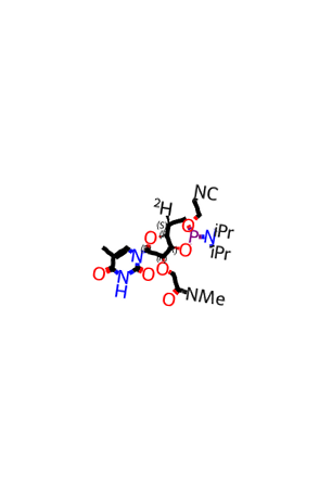 [2H][C@@H](C)[C@H]1O[C@@H](n2cc(C)c(=O)[nH]c2=O)[C@H](OCC(=O)NC)[C@@H]1OP(OCC[N+]#[C-])N(C(C)C)C(C)C